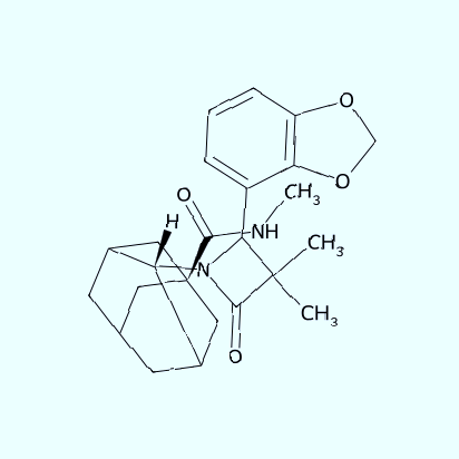 CNC(=O)[C@]12CC3CC(C1)[C@@H](N1C(=O)C(C)(C)C1c1cccc4c1OCO4)C(C3)C2